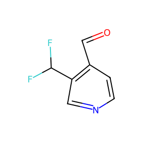 O=Cc1ccncc1C(F)F